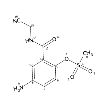 CS(=O)(=O)Oc1ccc(N)cc1C(=O)NCC#N